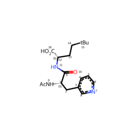 CC(=O)N[C@@H](Cc1cccnc1)C(=O)N[C@@H](CCC(C)(C)C)C(=O)O